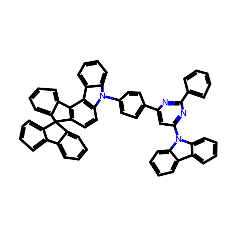 c1ccc(-c2nc(-c3ccc(-n4c5ccccc5c5c6c(ccc54)C4(c5ccccc5-c5ccccc54)c4ccccc4-6)cc3)cc(-n3c4ccccc4c4ccccc43)n2)cc1